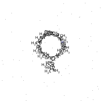 C=C(NC(=O)C(=C)NC(=O)c1ccc2c(n1)-c1coc(n1)C(=C)NC(=O)C(=C)NC(=O)c1nc(oc1C)C(=C)NC(=O)C(C(C)(C)O)NC(=O)C(=C)NC(=O)c1nc(oc1C)/C(=C/C)NC(=O)C(C(C)O)NC(=O)c1csc-2n1)C(N)=O